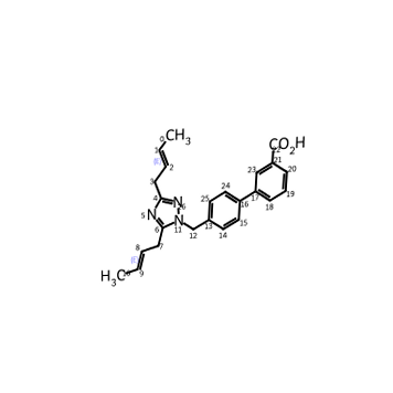 C/C=C/Cc1nc(C/C=C/C)n(Cc2ccc(-c3cccc(C(=O)O)c3)cc2)n1